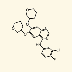 Fc1ccc(Nc2ncnc3cc(OC4CCCOC4)c(OC4CCCOC4)cc23)cc1Cl